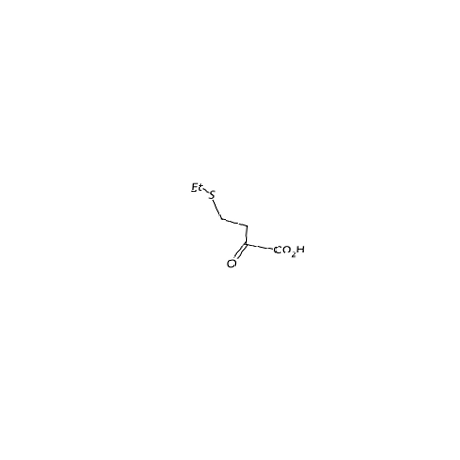 CCSCCC(=O)C(=O)O